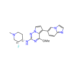 COc1nc(N[C@H]2CCN(C)C[C@H]2F)nn2ccc(-c3ccc4nccn4c3)c12